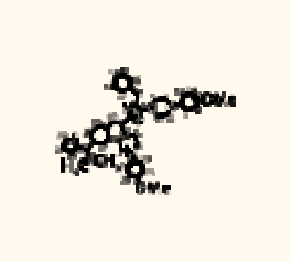 COc1ccc(N2CCN(c3oc(C(CC4CCC(C(c5cccs5)N(C)C)CC4)N4CCN(c5ccc(OC)cc5)CC4)nc3Cc3ccccc3)CC2)cc1